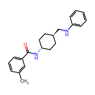 Cc1cccc(C(=O)N[C@H]2CC[C@H](CNc3ccccc3)CC2)c1